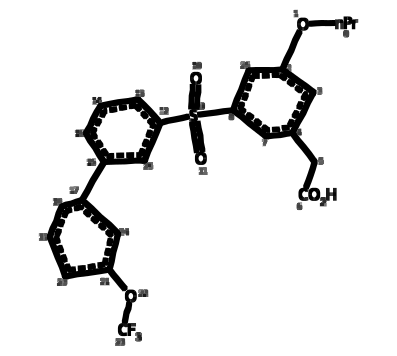 CCCOc1cc(CC(=O)O)cc(S(=O)(=O)c2cccc(-c3cccc(OC(F)(F)F)c3)c2)c1